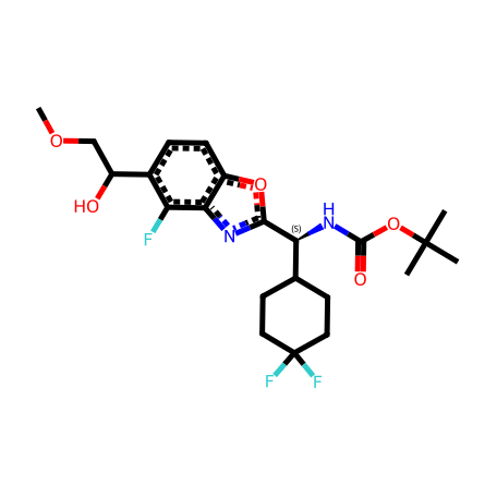 COCC(O)c1ccc2oc([C@@H](NC(=O)OC(C)(C)C)C3CCC(F)(F)CC3)nc2c1F